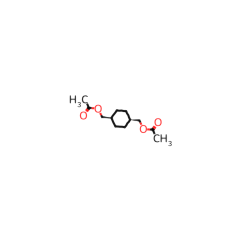 CC(=O)OC[C@H]1CC[C@@H](COC(C)=O)CC1